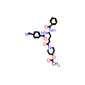 CC(=O)OC1CCN(C(=O)CCCC(NC(=O)c2ccccc2)NC(=O)c2ccc(C#N)cc2)CC1